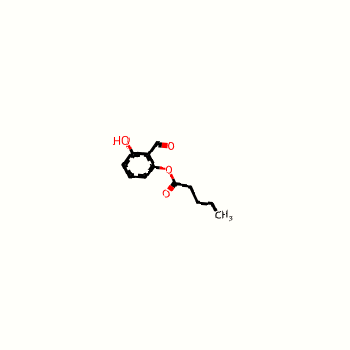 CCCCC(=O)Oc1cccc(O)c1C=O